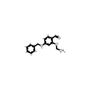 CCOc1cc(OCc2ccccc2)ccc1C=O